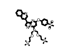 C[Si](C)(C)CCOCN(COCC[Si](C)(C)C)c1cc(Oc2ccc(S(C)(=O)=O)cc2)nc2c(-c3cnc4ccccc4c3)cnn12